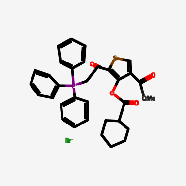 COC(=O)c1csc(C(=O)C[P+](c2ccccc2)(c2ccccc2)c2ccccc2)c1OC(=O)C1CCCCC1.[Br-]